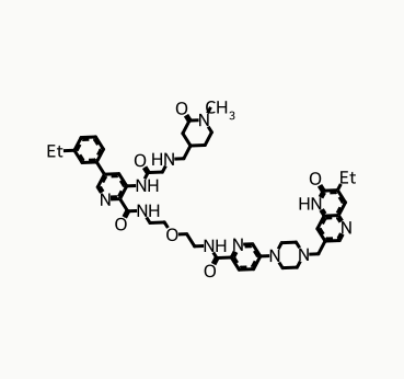 CCc1cccc(-c2cnc(C(=O)NCCOCCNC(=O)c3ccc(N4CCN(Cc5cnc6cc(CC)c(=O)[nH]c6c5)CC4)cn3)c(NC(=O)CNCC3CCN(C)C(=O)C3)c2)c1